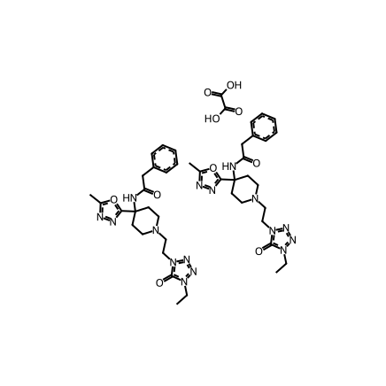 CCn1nnn(CCN2CCC(NC(=O)Cc3ccccc3)(c3nnc(C)o3)CC2)c1=O.CCn1nnn(CCN2CCC(NC(=O)Cc3ccccc3)(c3nnc(C)o3)CC2)c1=O.O=C(O)C(=O)O